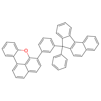 c1ccc(C2(c3cccc(-c4ccc5cccc6c5c4Oc4ccccc4-6)c3)c3ccccc3-c3c2ccc2ccccc32)cc1